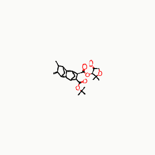 CC1C(C)C2CC1C1C3CC(C(C(=O)OC(C)(C)C)C3C(=O)OC3C(=O)COC3(C)C)C21